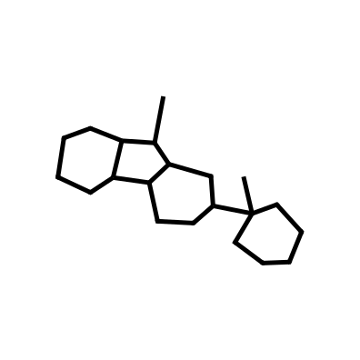 CC1C2CCCCC2C2CCC(C3(C)CCCCC3)CC12